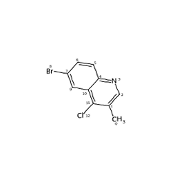 Cc1cnc2ccc(Br)cc2c1Cl